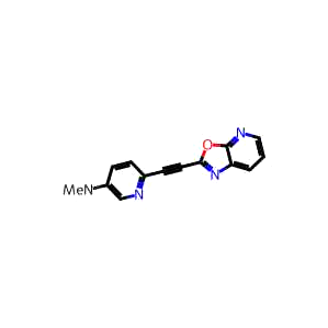 CNc1ccc(C#Cc2nc3cccnc3o2)nc1